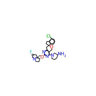 NC1CCCN(c2nc(OC[C@@]34CCCN3C[C@H](F)C4)nc3c2COC2(CCc4c(Cl)cccc42)C3)C1